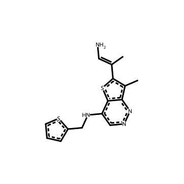 C/C(=C\N)c1sc2c(NCc3cccs3)cnnc2c1C